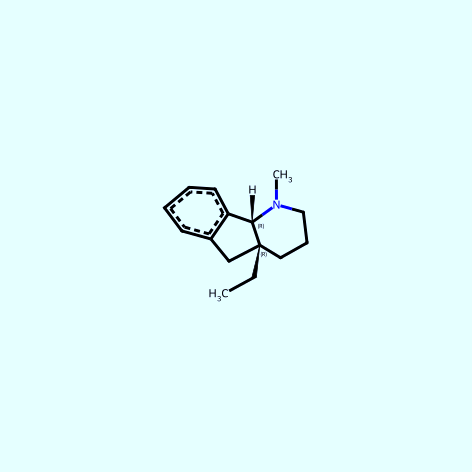 CC[C@]12CCCN(C)[C@H]1c1ccccc1C2